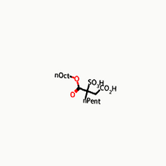 CCCCCCCCOC(=O)C(CCCCC)(CC(=O)O)S(=O)(=O)O